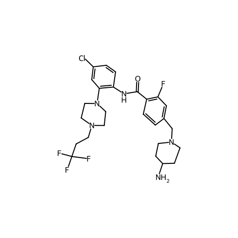 NC1CCN(Cc2ccc(C(=O)Nc3ccc(Cl)cc3N3CCN(CCC(F)(F)F)CC3)c(F)c2)CC1